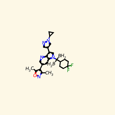 BC(B)(C1CCC(F)(F)CC1)n1cc(-c2cnn(C3CC3)c2)c2ncc(-c3c(C)noc3C)cc21